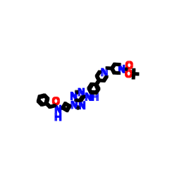 CC(C)(C)OC(=O)N1CCC(CN2CCC(c3ccc(Nc4ncnc5c4ncn5C4CC(NC(=O)Cc5ccccc5)C4)cc3)CC2)CC1